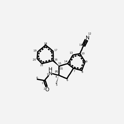 CC(=O)N[C@]1(C)Cc2ccc(C#N)cc2[C@@H]1c1ccccc1